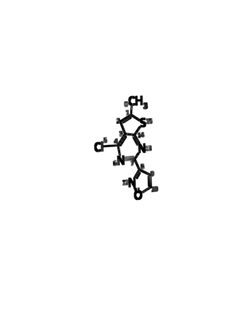 Cc1cc2c(Cl)nc(-c3ccon3)nc2s1